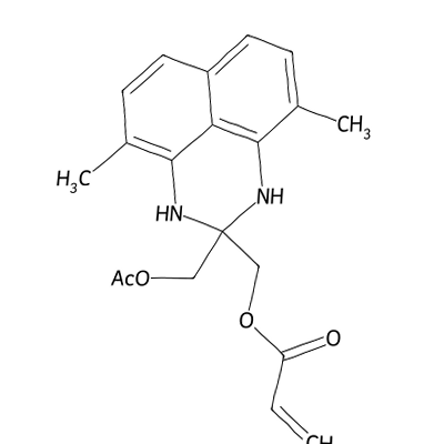 C=CC(=O)OCC1(COC(C)=O)Nc2c(C)ccc3ccc(C)c(c23)N1